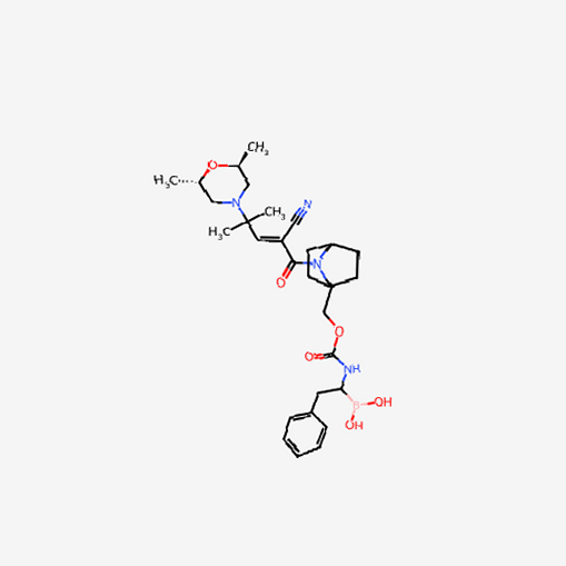 C[C@H]1CN(C(C)(C)C=C(C#N)C(=O)N2C3CCC2(COC(=O)NC(Cc2ccccc2)B(O)O)CC3)C[C@H](C)O1